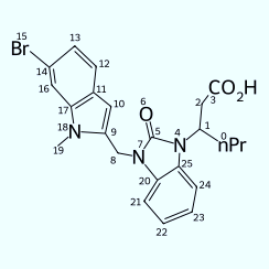 CCCC(CC(=O)O)n1c(=O)n(Cc2cc3ccc(Br)cc3n2C)c2ccccc21